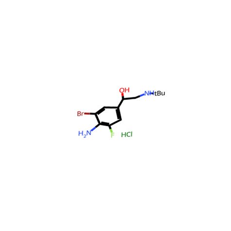 CC(C)(C)NCC(O)c1cc(F)c(N)c(Br)c1.Cl